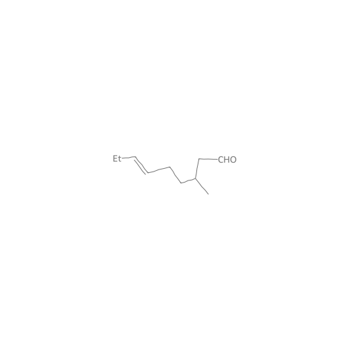 CCC=CCCC(C)CC=O